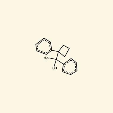 CC(O)(c1ccccc1)C1(c2ccccc2)CCC1